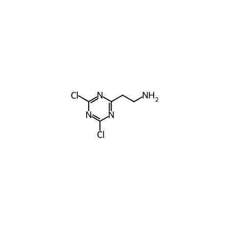 NCCc1nc(Cl)nc(Cl)n1